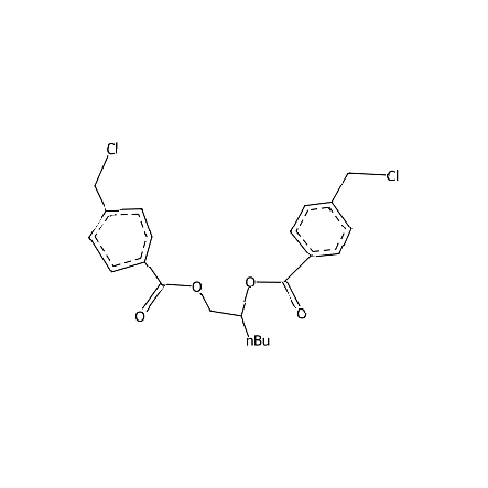 CCCCC(COC(=O)c1ccc(CCl)cc1)OC(=O)c1ccc(CCl)cc1